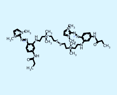 CCC(=O)Nc1ccc(/N=N/c2n(C)cc[n+]2C)c(NCC[N+](C)(C)CCSSCC[N+](C)(C)CCNc2cc(NC(=O)CC)ccc2/N=N/c2n(C)cc[n+]2C)c1